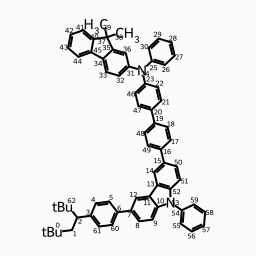 CC(C)(C)CC(c1ccc(-c2ccc3c(c2)c2cc(-c4ccc(-c5ccc(N(c6ccccc6)c6ccc7c(c6)C(C)(C)c6ccccc6-7)cc5)cc4)ccc2n3-c2ccccc2)cc1)C(C)(C)C